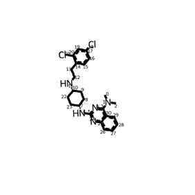 CN(C)c1nc(N[C@H]2CC[C@@H](NCCc3ccc(Cl)cc3Cl)CC2)nc2ccccc12